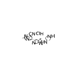 Cc1cn2cc(-c3cc4sc(N(C)C5CCNCC5)nc4cn3)cc(C#N)c2n1.Cl